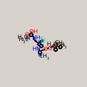 CN=S(C)(=O)c1cc(O)cc(NCC#Cc2cc3c(NC4CCN(C)CC4CCOCCOCCO[Si](c4ccccc4)(c4ccccc4)C(C)(C)C)cccc3n2CC(F)(F)F)c1